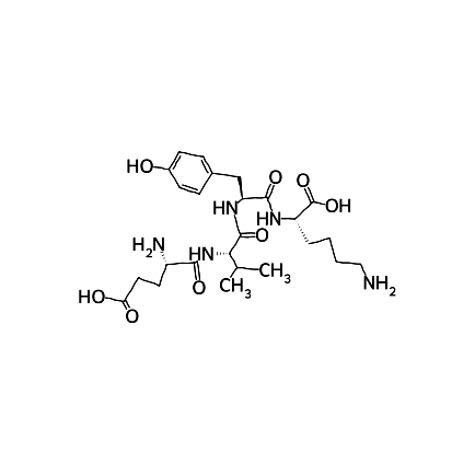 CC(C)[C@H](NC(=O)[C@@H](N)CCC(=O)O)C(=O)N[C@@H](Cc1ccc(O)cc1)C(=O)N[C@@H](CCCCN)C(=O)O